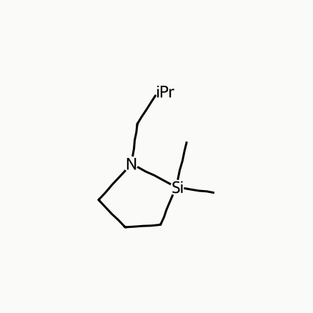 CC(C)CN1CCC[Si]1(C)C